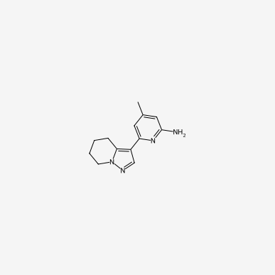 Cc1cc(N)nc(-c2cnn3c2CCCC3)c1